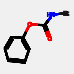 [CH2]CNC(=O)Oc1ccccc1